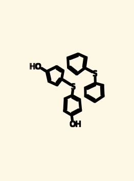 Oc1ccc(Sc2ccc(O)cc2)cc1.c1ccc(Sc2ccccc2)cc1